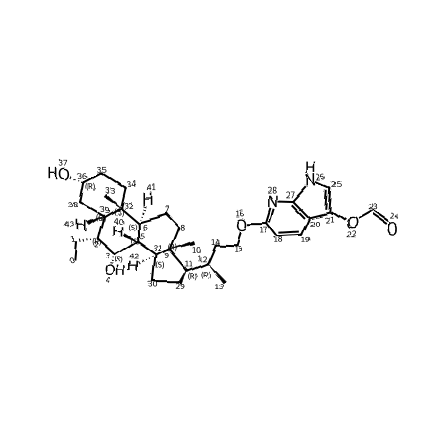 CC[C@H]1[C@@H](O)[C@@H]2[C@H](CC[C@]3(C)[C@@H]([C@H](C)CCOc4ccc5c(OC=O)c[nH]c5n4)CC[C@@H]23)[C@@]2(C)CC[C@@H](O)C[C@@H]12